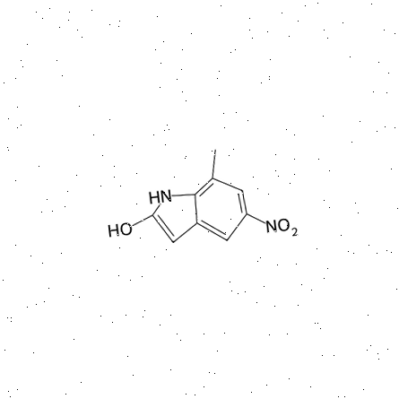 Cc1cc([N+](=O)[O-])cc2cc(O)[nH]c12